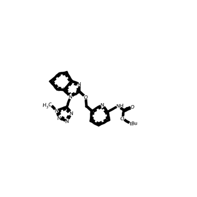 Cn1nnnc1-n1c(OCc2cccc(NC(=O)OC(C)(C)C)n2)nc2ccccc21